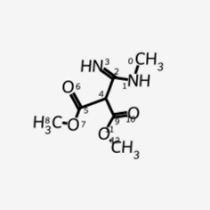 CNC(=N)C(C(=O)OC)C(=O)OC